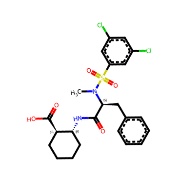 CN([C@@H](Cc1ccccc1)C(=O)N[C@@H]1CCCC[C@H]1C(=O)O)S(=O)(=O)c1cc(Cl)cc(Cl)c1